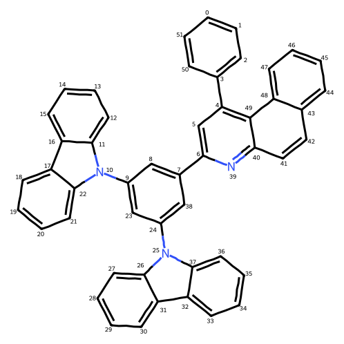 c1ccc(-c2cc(-c3cc(-n4c5ccccc5c5ccccc54)cc(-n4c5ccccc5c5ccccc54)c3)nc3ccc4ccccc4c23)cc1